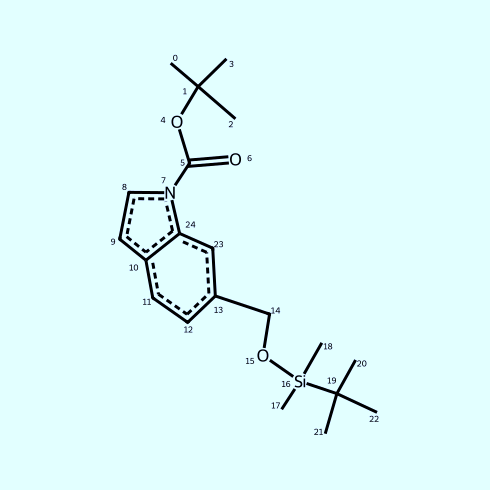 CC(C)(C)OC(=O)n1ccc2ccc(CO[Si](C)(C)C(C)(C)C)cc21